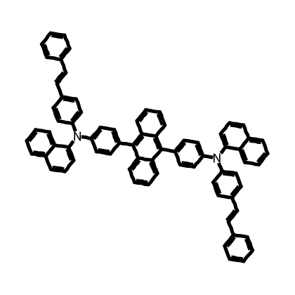 C(=Cc1ccc(N(c2ccc(-c3c4ccccc4c(-c4ccc(N(c5ccc(C=Cc6ccccc6)cc5)c5cccc6ccccc56)cc4)c4ccccc34)cc2)c2cccc3ccccc23)cc1)c1ccccc1